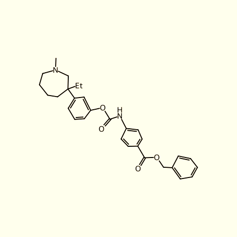 CCC1(c2cccc(OC(=O)Nc3ccc(C(=O)OCc4ccccc4)cc3)c2)CCCCN(C)C1